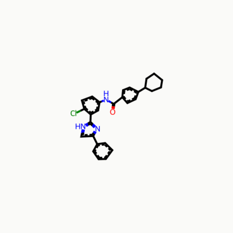 O=C(Nc1ccc(Cl)c(-c2nc(-c3ccccc3)c[nH]2)c1)c1ccc(C2CCCCC2)cc1